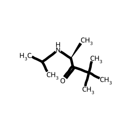 CC(C)N[C@@H](C)C(=O)C(C)(C)C